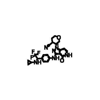 N#CC1CCOC[C@@H]1n1nc(Nc2ccc(C(NC3CC3)C(F)(F)F)cc2)c2c(=O)[nH]ccc21